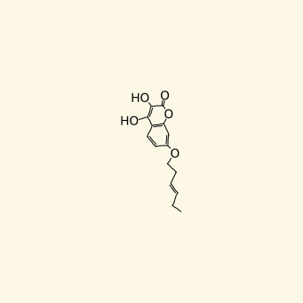 CCC=CCCOc1ccc2c(O)c(O)c(=O)oc2c1